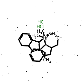 CCC1CC2CC=CC=C2[CH]1[Hf]([CH3])([CH3])(=[SiH2])[CH]1C2=CC=CCC2CC1CC.Cl.Cl